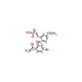 COc1cccc(C=CS(=O)(=O)O)c1.Cc1cc(Br)ccc1C(N)=O